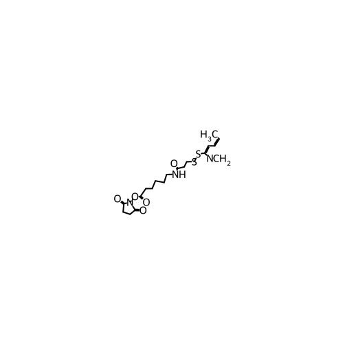 C=N/C(=C\C=C/C)SSCCC(=O)NCCCCCC(=O)ON1C(=O)CCC1=O